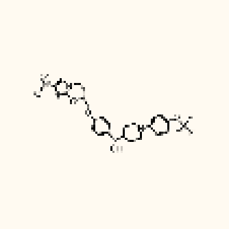 CN(c1ccc(OCC2CCn3cc([N+](=O)[O-])nc3O2)cc1)C1CCN(c2ccc(OC(F)(F)F)cc2)CC1